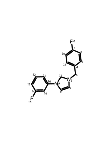 Fc1ccc(CN2C=CN(c3cccc(F)c3)C2)cc1